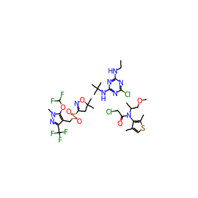 CCNc1nc(Cl)nc(NC(C)(C)C)n1.COCC(C)N(C(=O)CCl)c1c(C)csc1C.Cn1nc(C(F)(F)F)c(CS(=O)(=O)C2=NOC(C)(C)C2)c1OC(F)F